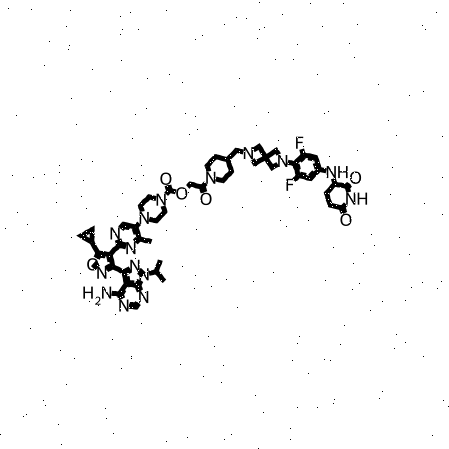 Cc1nc(-c2c(-c3nn(C(C)C)c4ncnc(N)c34)noc2C2CC2)ncc1N1CCN(C(=O)OCC(=O)N2CCC(CN3CC4(C3)CN(c3c(F)cc(NC5CCC(=O)NC5=O)cc3F)C4)CC2)CC1